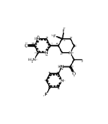 CC(C(=O)Nc1ccc(F)cn1)N1CCC(F)(F)C(c2c[nH]c(=O)c(N)n2)C1